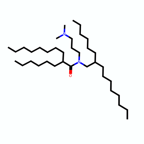 CCCCCCCCC(CCCCCC)CN(CCCN(C)C)C(=O)C(CCCCCC)CCCCCCCC